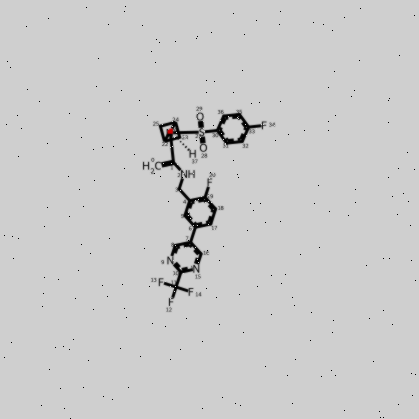 C=C(NCc1cc(-c2cnc(C(F)(F)F)nc2)ccc1F)[C@@H]1C2CC(C2)N1S(=O)(=O)c1ccc(F)cc1